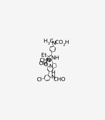 CCc1nc(C2CCc3cc(-c4cc(Cl)ccc4NC=O)cc(=O)n32)[nH]c1-c1ccc(N(C)C(=O)O)cc1.O=CO